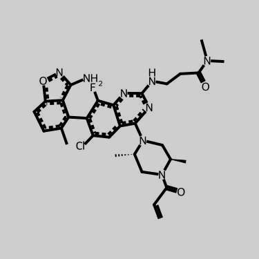 C=CC(=O)N1C[C@H](C)N(c2nc(NCCC(=O)N(C)C)nc3c(F)c(-c4c(C)ccc5onc(N)c45)c(Cl)cc23)C[C@H]1C